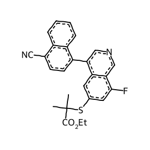 CCOC(=O)C(C)(C)Sc1cc(F)c2cncc(-c3ccc(C#N)c4ccccc34)c2c1